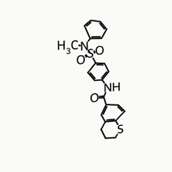 CN(c1ccccc1)S(=O)(=O)c1ccc(NC(=O)c2ccc3c(c2)CCCS3)cc1